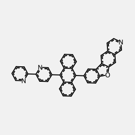 c1ccc(-c2ccc(-c3c4ccccc4c(-c4ccc5oc6cc7cnccc7cc6c5c4)c4ccccc34)cn2)nc1